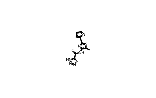 Cc1sc(-c2ccco2)nc1NC(=O)c1nnn[nH]1